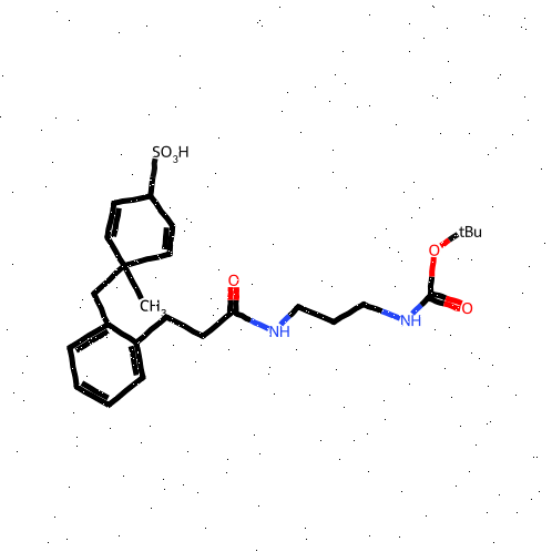 CC1(Cc2ccccc2CCC(=O)NCCCNC(=O)OC(C)(C)C)C=CC(S(=O)(=O)O)C=C1